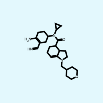 N=CC1=C(N)CCC(N(C(=O)C2CCC=C3C2CCN3CC2CCOCC2)C2CC2)C1